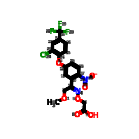 COCC(=NOCC(=O)O)c1cc(Oc2ccc(C(F)(F)F)cc2Cl)ccc1[N+](=O)[O-]